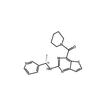 C[C@H](Nc1nc(C(=O)N2CCCCC2)c2sccc2n1)c1cccnc1